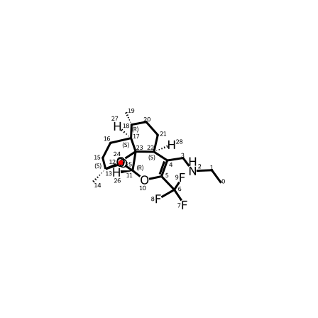 CCNCC1=C(C(F)(F)F)O[C@@H]2O[C@]3(C)CC[C@H]4[C@H](C)CC[C@@H]1C24OO3